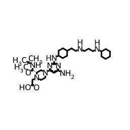 CC(C)(C)NC(=O)[C@@H]1CN(c2cc(N)nc(NC3CCC(CCNCCCNC4CCCCC4)CC3)n2)CCN1CC(=O)O